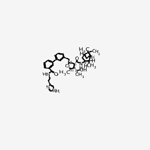 C[C@@H]1[C@@H](NC(=O)[C@@H]2[C@H]([C@H](C)O)[C@H](C)ON2Cc2cccc(-c3cccc(C(=O)NCCc4c[nH]cn4)c3)c2)C[C@H]2C[C@@H]1C2(C)C